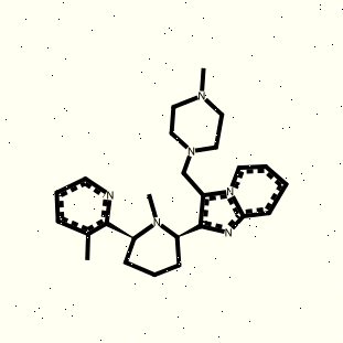 Cc1cccnc1[C@@H]1CCC[C@H](c2nc3ccccn3c2CN2CCN(C)CC2)N1C